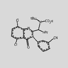 CCCC(c1nc2c(Cl)ccc(Cl)c2c(=O)n1-c1cccc(C#N)c1)N(C(=O)O)C(C)(C)C